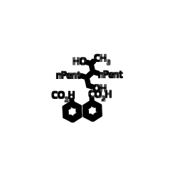 CCCCCC(CO)C(CCCCC)C(C)O.O=C(O)c1ccccc1.O=C(O)c1ccccc1